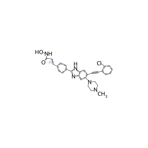 CN1CCN(c2cc3nc(-c4ccc(/C=C/C(=O)NO)cc4)[nH]c3cc2C#Cc2ccccc2Cl)CC1